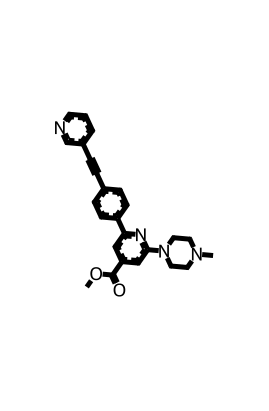 COC(=O)c1cc(-c2ccc(C#Cc3cccnc3)cc2)nc(N2CCN(C)CC2)c1